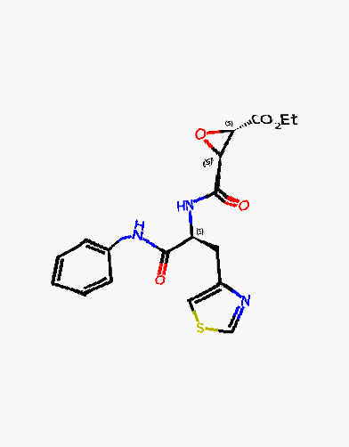 CCOC(=O)[C@H]1O[C@@H]1C(=O)N[C@@H](Cc1cscn1)C(=O)Nc1ccccc1